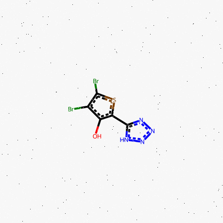 Oc1c(-c2nnn[nH]2)sc(Br)c1Br